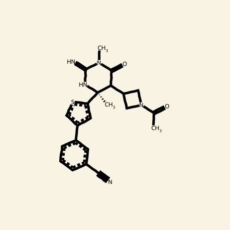 CC(=O)N1CC(C2C(=O)N(C)C(=N)N[C@]2(C)c2cc(-c3cccc(C#N)c3)cs2)C1